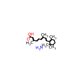 CC(C=CC1=C(C)CCCC1(C)C)=CC=CC(C)=CC(=O)O.N